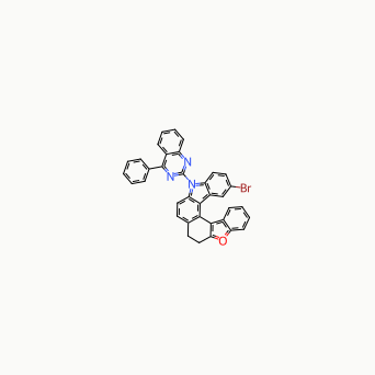 Brc1ccc2c(c1)c1c3c(ccc1n2-c1nc(-c2ccccc2)c2ccccc2n1)CCc1oc2ccccc2c1-3